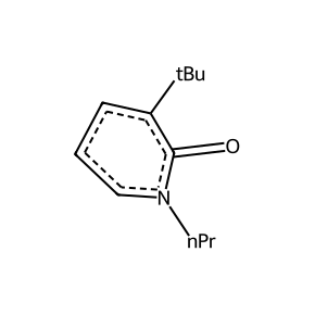 CCCn1cccc(C(C)(C)C)c1=O